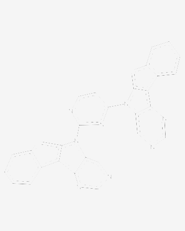 c1ccc2c(c1)oc1c2c2ncncc2n1-c1ccnc(-n2c3cncnc3c3c4ccccc4oc32)n1